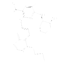 CCCOc1nccc2cc(Nc3nc(N[C@@H]4CCCC[C@@H]4N)c(F)cc3C(N)=O)ccc12